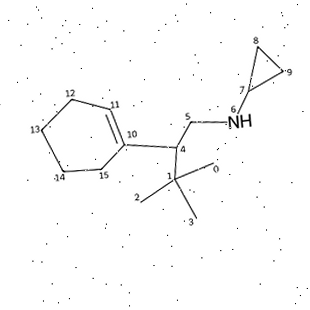 CC(C)(C)C(CNC1CC1)C1=CCCCC1